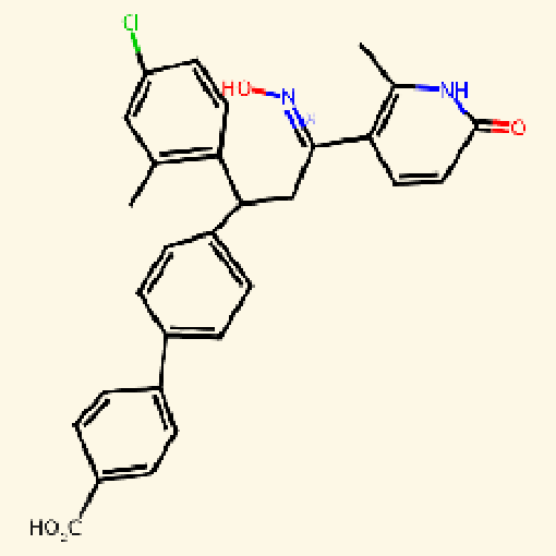 Cc1cc(Cl)ccc1C(C/C(=N\O)c1ccc(=O)[nH]c1C)c1ccc(-c2ccc(C(=O)O)cc2)cc1